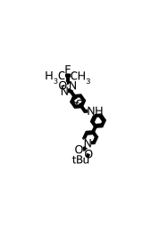 CC(C)(C)OC(=O)N1CC=C(c2cccc(NCC34CCC(c5noc(C(C)(C)F)n5)(CC3)CC4)c2)CC1